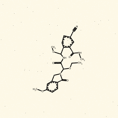 CCOC(C(=O)NC(OC)c1ccc(C#N)cc1C(=O)NC)N1Cc2cc(OC)ccc2C1=O